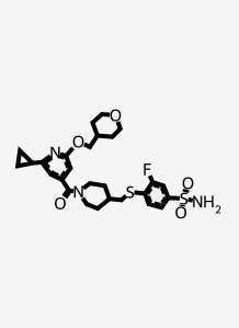 NS(=O)(=O)c1ccc(SCC2CCN(C(=O)c3cc(OCC4CCOCC4)nc(C4CC4)c3)CC2)c(F)c1